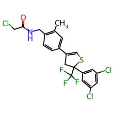 Cc1cc(C2=CSC(c3cc(Cl)cc(Cl)c3)(C(F)(F)F)C2)ccc1CNC(=O)CCl